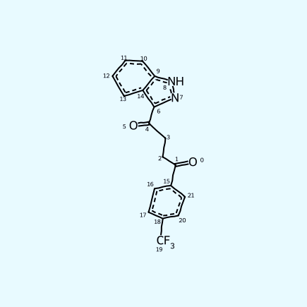 O=C(CCC(=O)c1n[nH]c2ccccc12)c1ccc(C(F)(F)F)cc1